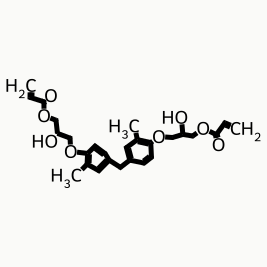 C=CC(=O)OCC(O)COc1ccc(Cc2ccc(OCC(O)COC(=O)C=C)c(C)c2)cc1C